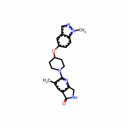 Cc1cc2c(nc1N1CCC(Oc3ccc4c(cnn4C)c3)CC1)CNC2=O